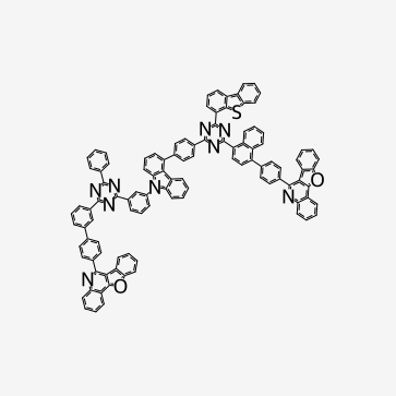 c1ccc(-c2nc(-c3cccc(-c4ccc(-c5nc6ccccc6c6oc7ccccc7c56)cc4)c3)nc(-c3cccc(-n4c5ccccc5c5c(-c6ccc(-c7nc(-c8ccc(-c9ccc(-c%10nc%11ccccc%11c%11oc%12ccccc%12c%10%11)cc9)c9ccccc89)nc(-c8cccc9c8sc8ccccc89)n7)cc6)cccc54)c3)n2)cc1